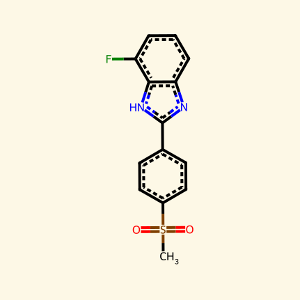 CS(=O)(=O)c1ccc(-c2nc3cccc(F)c3[nH]2)cc1